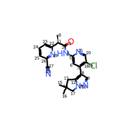 C[C@@H](C(=O)Nc1cc(-c2cnn3c2CC(C)(C)C3)c(Cl)cn1)c1cccc(C#N)n1